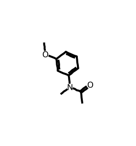 COc1cccc(N(C)C(C)=O)c1